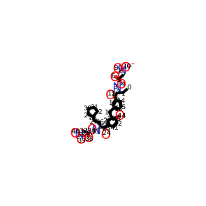 CC/C(=N\OC(=O)C[N+](=O)[O-])C(=O)c1ccc2c(c1)Cc1cc(C(=O)/C(CCC3CCCC3)=N/OC(=O)C[N+](=O)[O-])ccc1O2